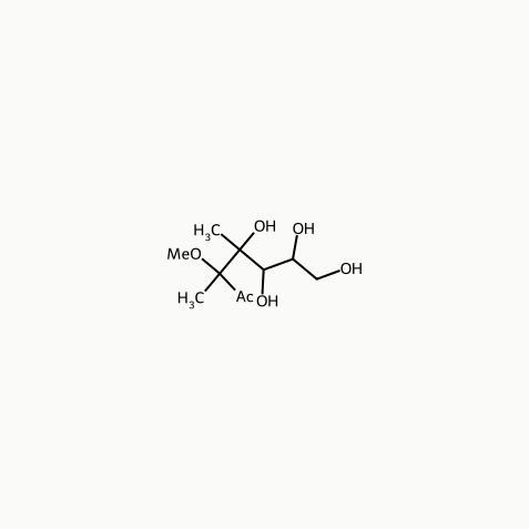 COC(C)(C(C)=O)C(C)(O)C(O)C(O)CO